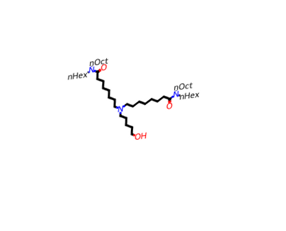 CCCCCCCCN(CCCCCC)C(=O)CCCCCCCN(CCCCCO)CCCCCCCC(=O)N(CCCCCC)CCCCCCCC